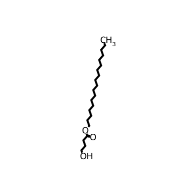 CCCCCCCCCCCCCCCCCCOC(=O)CCCO